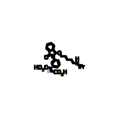 CC(C)NCCCCCOC1c2ccccc2C(=O)N1c1ccccc1.O=C(O)/C=C/C(=O)O